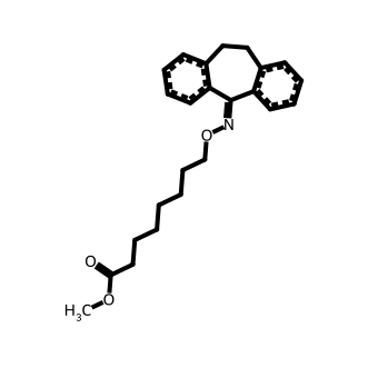 COC(=O)CCCCCCCON=C1c2ccccc2CCc2ccccc21